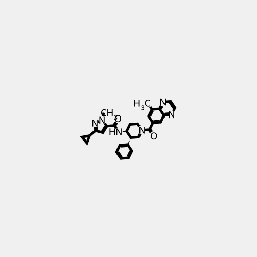 Cc1cc(C(=O)N2CC[C@@H](NC(=O)c3cc(C4CC4)nn3C)[C@@H](c3ccccc3)C2)cc2nccnc12